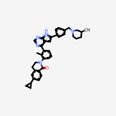 Cc1c(-c2ncnc3[nH]c(-c4ccc(CN5CCCC(C#N)C5)cc4)cc23)cccc1N1CCc2cc(C3CC3)ccc2C1=O